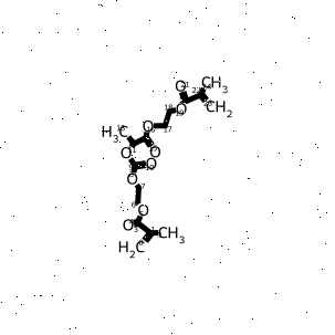 C=C(C)C(=O)OCCOC(=O)OC(C)C(=O)OCCOC(=O)C(=C)C